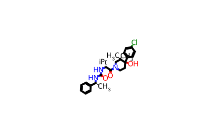 CC(C)[C@@H](NC(=O)N[C@H](C)c1ccccc1)C(=O)N1CCC(O)(c2ccc(Cl)cc2)C(C)(C)C1